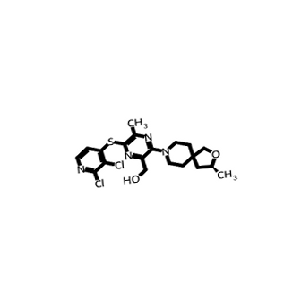 Cc1nc(N2CCC3(CC2)CO[C@@H](C)C3)c(CO)nc1Sc1ccnc(Cl)c1Cl